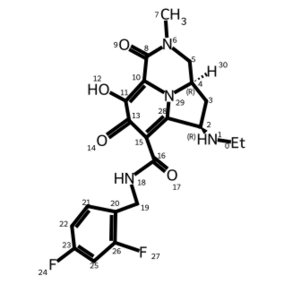 CCN[C@@H]1C[C@@H]2CN(C)C(=O)c3c(O)c(=O)c(C(=O)NCc4ccc(F)cc4F)c1n32